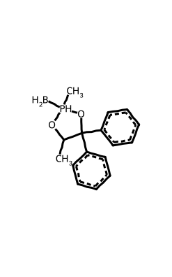 B[PH]1(C)OC(C)C(c2ccccc2)(c2ccccc2)O1